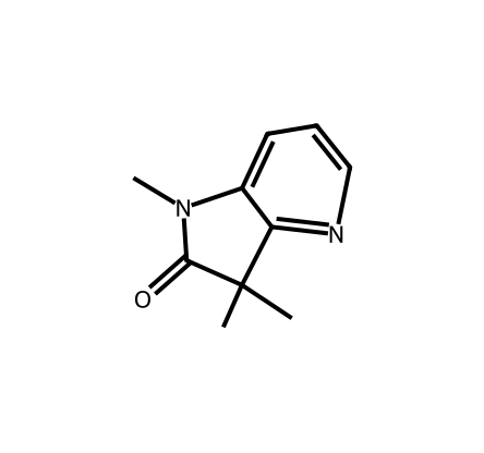 CN1C(=O)C(C)(C)c2ncccc21